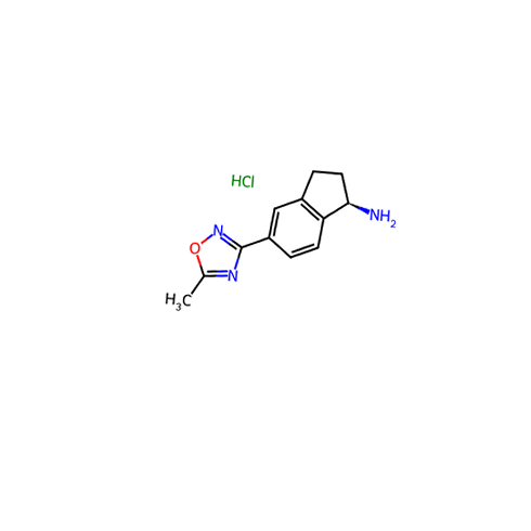 Cc1nc(-c2ccc3c(c2)CC[C@H]3N)no1.Cl